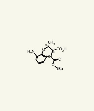 C[C@@H](Oc1cccnc1N)[C@H](NC(=O)OC(C)(C)C)C(=O)O